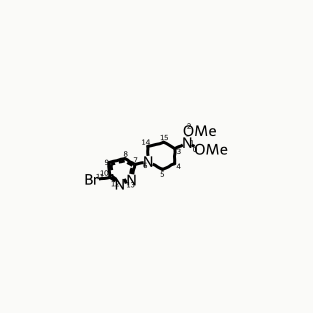 CON(OC)C1CCN(c2ccc(Br)nn2)CC1